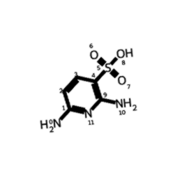 Nc1ccc(S(=O)(=O)O)c(N)n1